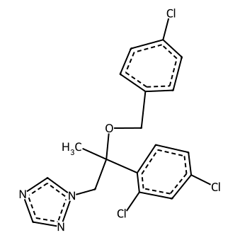 CC(Cn1cncn1)(OCc1ccc(Cl)cc1)c1ccc(Cl)cc1Cl